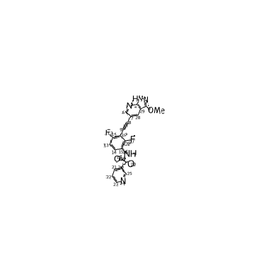 COc1n[nH]c2ncc(C#Cc3c(F)ccc(NS(=O)(=O)c4cccnc4)c3F)cc12